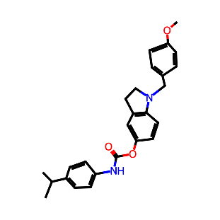 COc1ccc(CN2CCc3cc(OC(=O)Nc4ccc(C(C)C)cc4)ccc32)cc1